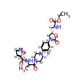 CCOC(=O)NC[C@H]1CN(c2ccc(N3CCN(C(=O)[C@H](C)NC(=O)c4ccno4)CC3)c(F)c2)C(=O)O1